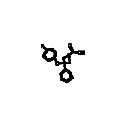 O=C(O)N1CC(Oc2ccc(F)cc2)(c2ccccc2)C1